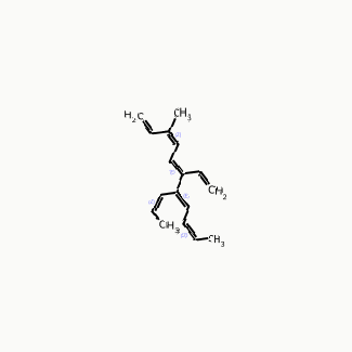 C=C/C(C)=C\C=C(/C=C)C(=C/C=C\C)/C=C\C